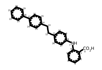 O=C(O)c1ccccc1Nc1ccc(CCc2ccc(-c3ccccc3)cc2)cc1